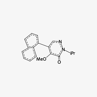 COc1c(-c2cccc3ccccc23)cnn(C(C)C)c1=O